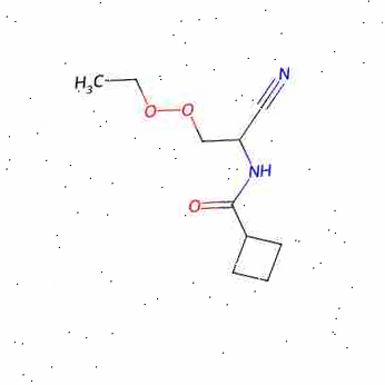 CCOOCC(C#N)NC(=O)C1CCC1